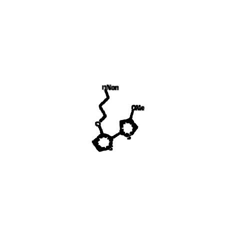 CCCCCCCCCCCCOc1ccsc1-c1cc(OC)cs1